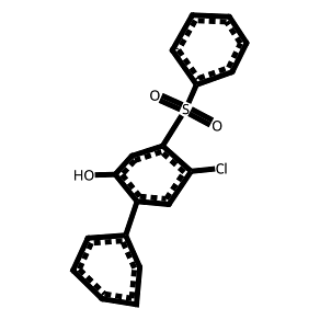 O=S(=O)(c1ccccc1)c1cc(O)c(-c2ccccc2)cc1Cl